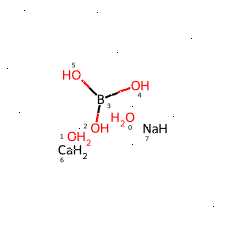 O.O.OB(O)O.[CaH2].[NaH]